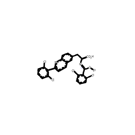 CCO/C(=N\C(Cc1ccc2nc(-c3c(Cl)cccc3Cl)ccc2c1)C(=O)O)c1c(Cl)cccc1Cl